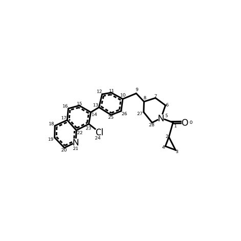 O=C(C1CC1)N1CCC(Cc2ccc(-c3ccc4cccnc4c3Cl)cc2)CC1